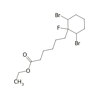 CCOC(=O)CCCCCC1(F)C(Br)CCCC1Br